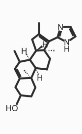 CC1=C(c2ncc[nH]2)[C@@]2(C)CC[C@@H]3[C@@H](C(C)C=C4CC(O)CC[C@@]43C)[C@@H]2C1